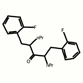 CCCC(Cc1ccccc1F)C(=O)C(CCC)Cc1ccccc1F